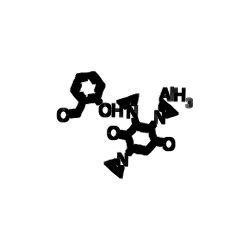 O=C1C=C(N2CC2)C(=O)C(N2CC2)=C1N1CC1.O=Cc1ccccc1O.[AlH3]